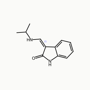 CC(C)N/C=C1\C(=O)Nc2ccccc21